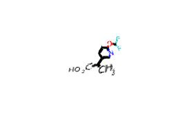 CC(C(=O)O)c1ccc(OC(F)F)nc1